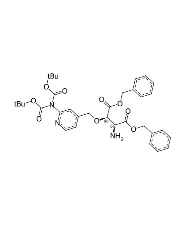 CC(C)(C)OC(=O)N(C(=O)OC(C)(C)C)c1cc(CO[C@@H](C(=O)OCc2ccccc2)[C@H](N)C(=O)OCc2ccccc2)ccn1